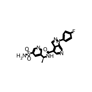 C[C@H](NC(=O)c1cncc2c1cnn2-c1ccc(F)cc1)c1cncc(S(N)(=O)=O)c1